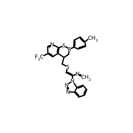 C=N/C(=C\SCC1CB(c2ccc(C)cc2)Sc2ncc(C(F)(F)F)cc21)n1nnc2ccccc21